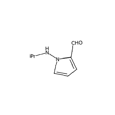 CC(C)Nn1cccc1C=O